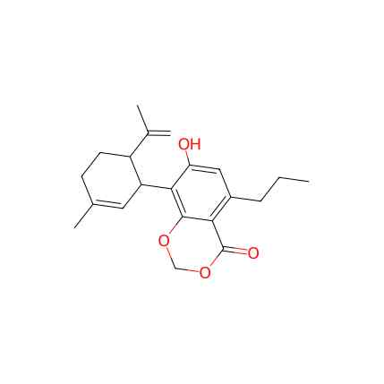 C=C(C)C1CCC(C)=CC1c1c(O)cc(CCC)c2c1OCOC2=O